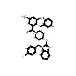 Cc1cc(C)cc(C(=O)N2CC[C@@H](Oc3nc4ccccc4n3Cc3ccc(F)cc3)C[C@H]2Cc2ccccc2)c1